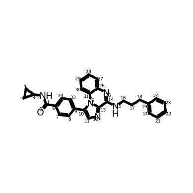 O=C(NC1CC1)c1ccc(-c2cnc3c(NCCCc4ccccc4)nc4ccccc4n23)cc1